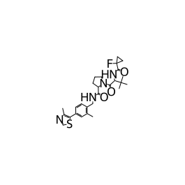 Cc1cc(-c2scnc2C)ccc1CNC(=O)C1CCCN1C(=O)C(NC(=O)C1(F)CC1)C(C)(C)C